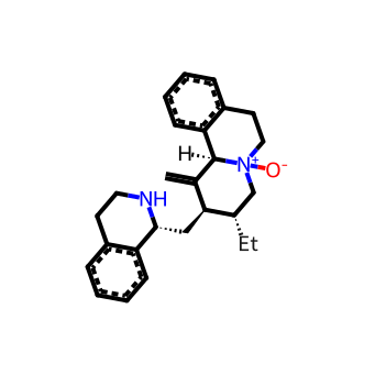 C=C1[C@H](C[C@H]2NCCc3ccccc32)[C@@H](CC)C[N+]2([O-])CCc3ccccc3[C@H]12